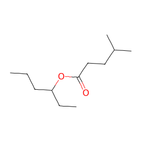 CCCC(CC)OC(=O)CCC(C)C